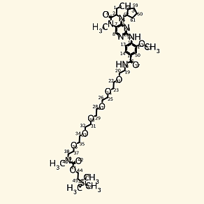 CCC1C(=O)N(C)c2cnc(Nc3ccc(C(=O)NCCOCCOCCOCCOCCOCCOCCN(C)C(=O)OCC[Si](C)(C)C)cc3OC)nc2N1C1CCCC1